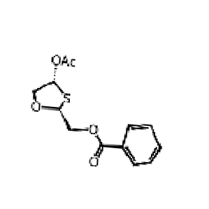 CC(=O)O[C@H]1CO[C@H](COC(=O)c2ccccc2)S1